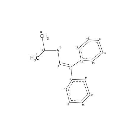 CC(C)SC=C(c1ccccc1)c1ccccc1